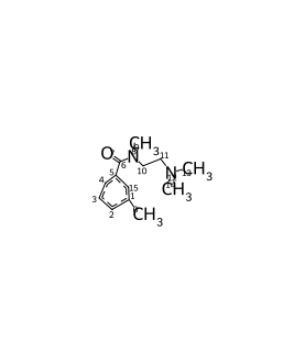 Cc1cccc(C(=O)N(C)CCN(C)C)c1